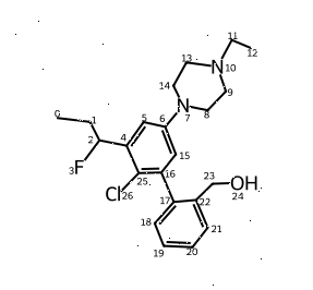 CCC(F)c1cc(N2CCN(CC)CC2)cc(-c2ccccc2CO)c1Cl